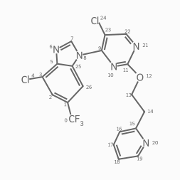 FC(F)(F)c1cc(Cl)c2ncn(-c3nc(OCCc4ccccn4)ncc3Cl)c2c1